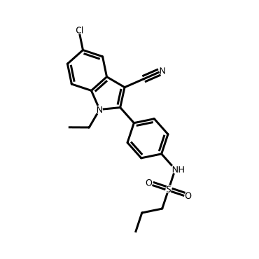 CCCS(=O)(=O)Nc1ccc(-c2c(C#N)c3cc(Cl)ccc3n2CC)cc1